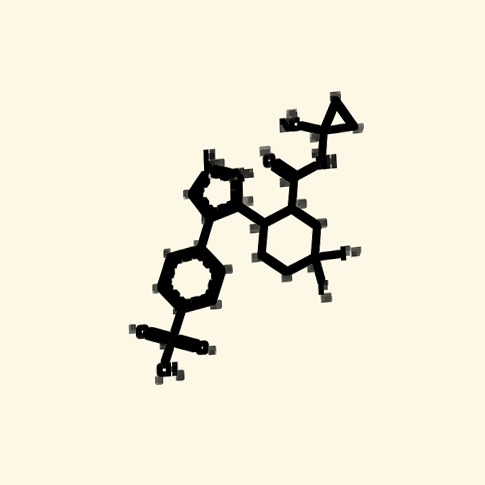 CS(=O)(=O)c1ccc(-c2c[nH]nc2C2CCC(F)(F)CC2C(=O)NC2(C#N)CC2)cc1